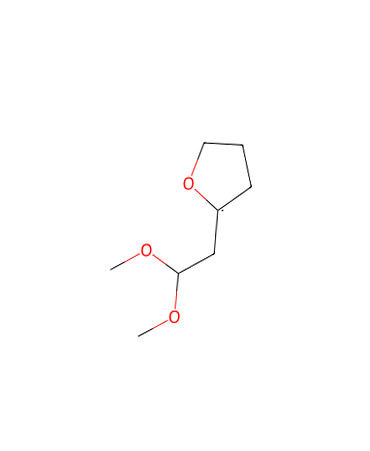 COC(C[C]1CCCO1)OC